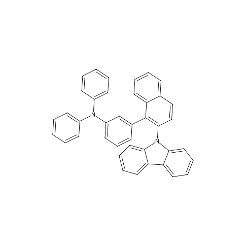 c1ccc(N(c2ccccc2)c2cccc(-c3c(-n4c5ccccc5c5ccccc54)ccc4ccccc34)c2)cc1